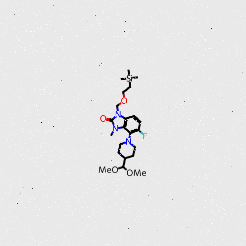 COC(OC)C1CCN(c2c(F)ccc3c2n(C)c(=O)n3COCC[Si](C)(C)C)CC1